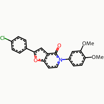 COc1ccc(-n2ccc3oc(-c4ccc(Cl)cc4)cc3c2=O)cc1OC